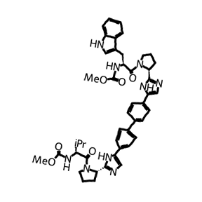 COC(=O)N[C@@H](Cc1c[nH]c2ccccc12)C(=O)N1CCC[C@H]1c1ncc(-c2ccc(-c3ccc(-c4cnc([C@@H]5CCCN5C(=O)[C@@H](NC(=O)OC)C(C)C)[nH]4)cc3)cc2)[nH]1